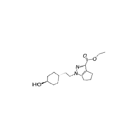 CCOC(=O)c1nn(CC[C@H]2CC[C@H](O)CC2)c2c1CCC2